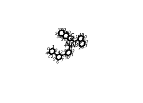 c1ccc(-c2cccc(-c3cccc(-c4nc(-c5cccc6ccccc56)c5sc6cc7ccccc7cc6c5n4)c3)c2)cc1